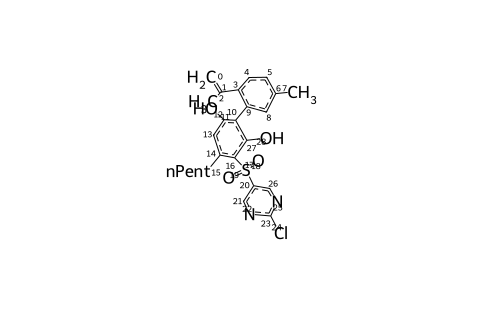 C=C(C)c1ccc(C)cc1-c1c(O)cc(CCCCC)c(S(=O)(=O)c2cnc(Cl)nc2)c1O